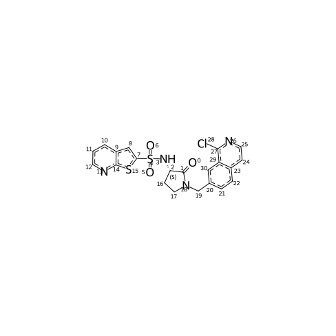 O=C1[C@@H](NS(=O)(=O)c2cc3cccnc3s2)CCN1Cc1ccc2ccnc(Cl)c2c1